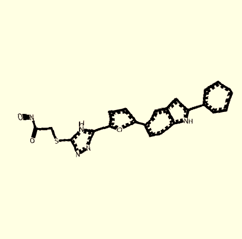 O=NC(=O)CSc1nnc(-c2ccc(-c3ccc4[nH]c(-c5ccccc5)cc4c3)o2)[nH]1